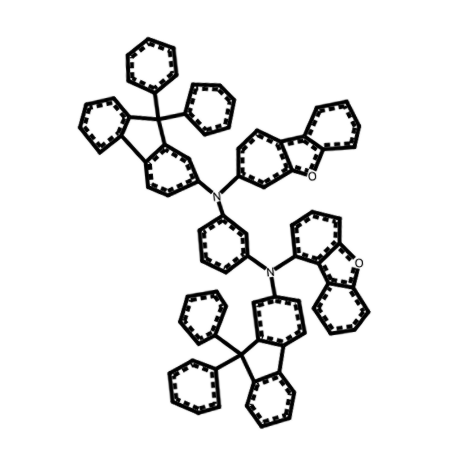 c1ccc(C2(c3ccccc3)c3ccccc3-c3ccc(N(c4cccc(N(c5ccc6c(c5)C(c5ccccc5)(c5ccccc5)c5ccccc5-6)c5cccc6oc7ccccc7c56)c4)c4ccc5c(c4)oc4ccccc45)cc32)cc1